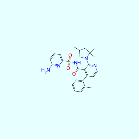 Cc1ccccc1-c1ccnc(N2CC(C)CC2(C)C)c1C(=O)NS(=O)(=O)c1cccc(N)n1